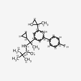 CC1(c2cc(C(C)(N[S+]([O-])C(C)(C)C)C3CC3)cc(-c3ccc(F)cc3)n2)CO1